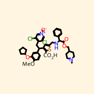 COc1ccc(C(Cc2c(Cl)c[n+]([O-])cc2Cl)c2cc(CNC(C(=O)OCC3CCN(C)CC3)c3ccccc3)sc2C(=O)O)cc1OC1CCCC1